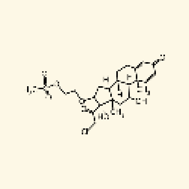 C[C@]12C=CC(=O)C=C1CC[C@H]1[C@@H]3CC(OCCOS(C)(=O)=O)[C@](O)(C(=O)CCl)[C@@]3(C)CC(O)[C@@]12F